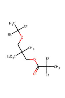 CCOC(=O)C(C)(COC(=O)C(C)(CC)CC)COC(C)(CC)CC